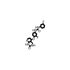 O=C(Nc1cccc(F)c1)Nc1ccc(Oc2ccnc3c2CNC(=O)N3)c(F)c1